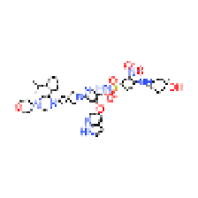 CC(C)c1ccccc1C1CN(C2CCOCC2)CCN1C1CC2(C1)CN(c1cc(Oc3cnc4[nH]ccc4c3)c(C(=O)NS(=O)(=O)c3ccc(NCC4CCC(C)(O)CC4)c([N+](=O)[O-])c3)cn1)C2